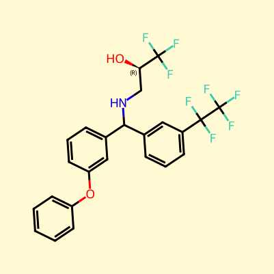 O[C@H](CNC(c1cccc(Oc2ccccc2)c1)c1cccc(C(F)(F)C(F)(F)F)c1)C(F)(F)F